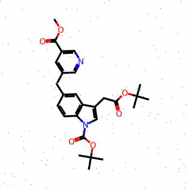 COC(=O)c1cncc(Cc2ccc3c(c2)c(CC(=O)OC(C)(C)C)cn3C(=O)OC(C)(C)C)c1